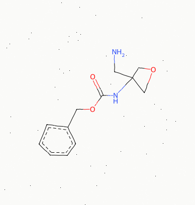 NCC1(NC(=O)OCc2ccccc2)COC1